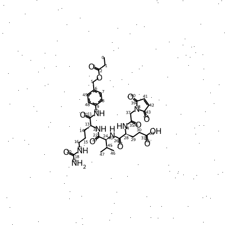 CCC(=O)OCc1ccc(NC(=O)[C@H](CCCNC(N)=O)NC(=O)[C@@H](NC(=O)[C@H](CCC(=O)O)NC(=O)CN2C(=O)C=CC2=O)C(C)C)cc1